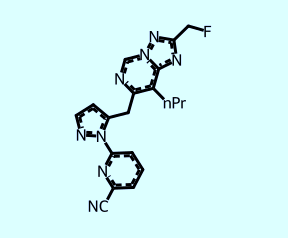 CCCc1c(Cc2ccnn2-c2cccc(C#N)n2)ncn2nc(CF)nc12